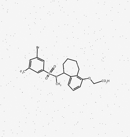 CN(C1CCCCc2c(OCC(=O)O)cccc21)S(=O)(=O)c1cc(Br)cc(C(F)(F)F)c1